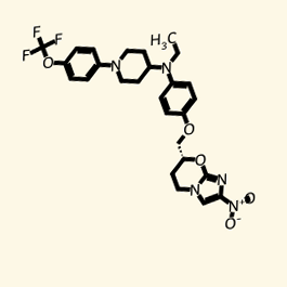 CCN(c1ccc(OC[C@H]2CCn3cc([N+](=O)[O-])nc3O2)cc1)C1CCN(c2ccc(OC(F)(F)F)cc2)CC1